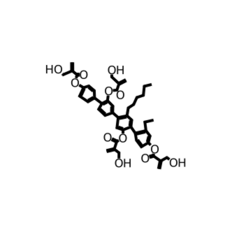 C=C(CO)C(=O)Oc1ccc(-c2ccc(-c3cc(OC(=O)C(=C)CO)c(-c4ccc(OC(=O)C(=C)CO)cc4CC)cc3CCCCCC)cc2OC(=O)C(=C)CO)cc1